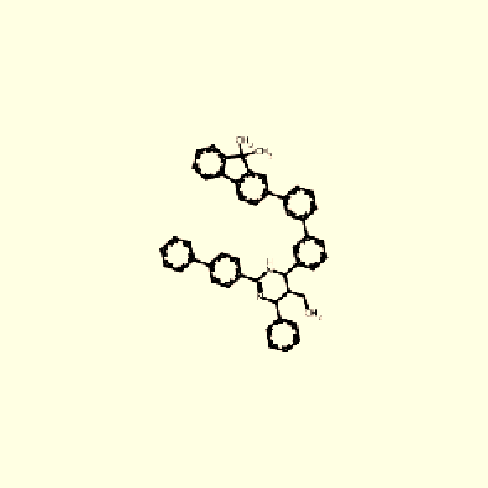 CCC1C(c2ccccc2)N=C(c2ccc(-c3ccccc3)cc2)NC1c1cccc(-c2cccc(-c3ccc4c(c3)C(C)(C)c3ccccc3-4)c2)c1